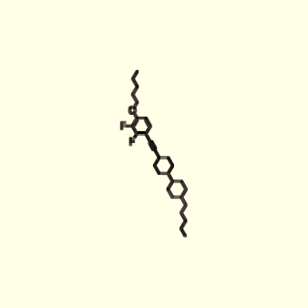 CCCCCOc1ccc(C#CC2CCC(C3CCC(CCCCC)CC3)CC2)c(F)c1F